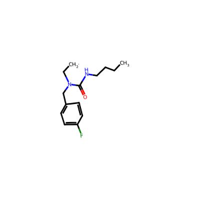 [CH2]CN(Cc1ccc(F)cc1)C(=O)NCCCC